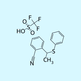 CC(Sc1ccccc1)c1ccccc1C#N.O=S(=O)(O)C(F)(F)F